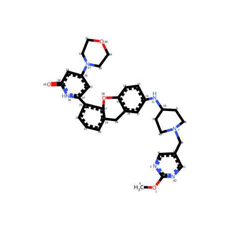 COc1ncc(CN2CCC(Nc3ccc4c(c3)Cc3cccc(-c5cc(N6CCOCC6)cc(=O)[nH]5)c3O4)CC2)cn1